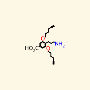 C#CCCCCOc1cc(C(=O)O)cc(OCCCCC#C)c1CCCN